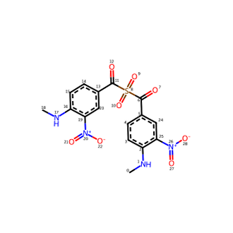 CNc1ccc(C(=O)S(=O)(=O)C(=O)c2ccc(NC)c([N+](=O)[O-])c2)cc1[N+](=O)[O-]